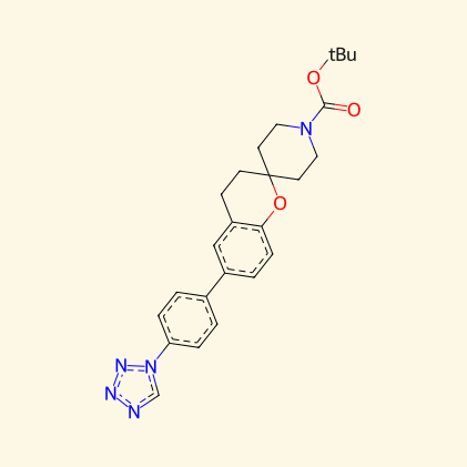 CC(C)(C)OC(=O)N1CCC2(CCc3cc(-c4ccc(-n5cnnn5)cc4)ccc3O2)CC1